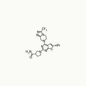 CCCc1cc2c(N3CCn4c(nnc4C(F)(F)F)C3)nc(N3CCC(C(N)=O)C3)nc2s1